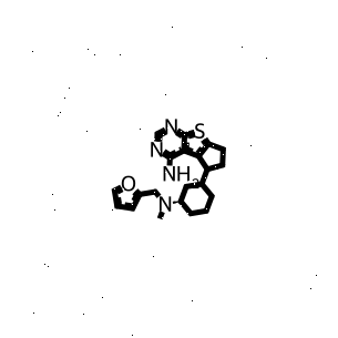 CN(Cc1ccco1)[C@H]1CCCC(C2CCc3sc4ncnc(N)c4c32)C1